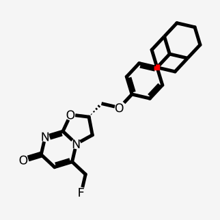 O=c1cc(CF)n2c(n1)O[C@H](COc1ccc(C3C4CCCC3CCC4)cc1)C2